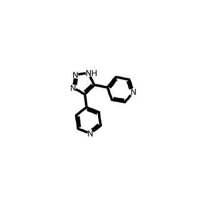 c1cc(-c2nn[nH]c2-c2ccncc2)ccn1